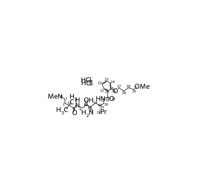 CNCCC(C)(C)C(=O)NC[C@H](O)[C@@H](N)C[C@H](CNC(=O)c1ccccc1OCCCCOC)C(C)C.Cl.Cl